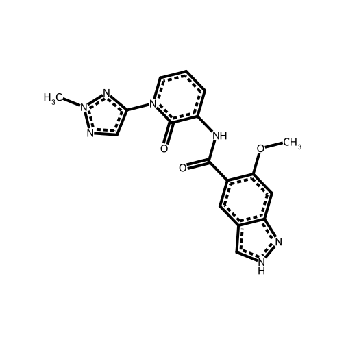 COc1cc2n[nH]cc2cc1C(=O)Nc1cccn(-c2cnn(C)n2)c1=O